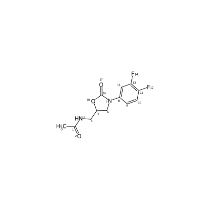 CC(=O)NCC1CN(c2ccc(F)c(F)c2)C(=O)O1